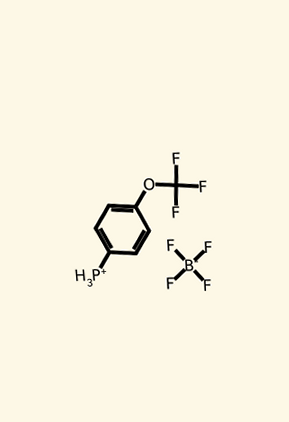 FC(F)(F)Oc1ccc([PH3+])cc1.F[B-](F)(F)F